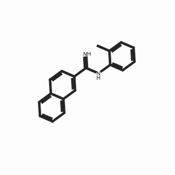 Cc1ccccc1NC(=N)c1ccc2ccccc2c1